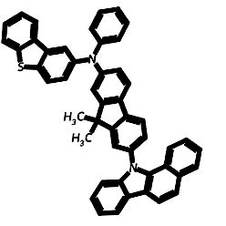 CC1(C)c2cc(N(c3ccccc3)c3ccc4sc5ccccc5c4c3)ccc2-c2ccc(-n3c4ccccc4c4ccc5ccccc5c43)cc21